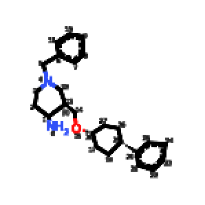 NC1CCN(Cc2ccccc2)C[C@H]1CO[C@H]1CC[C@@H](c2ccccc2)CC1